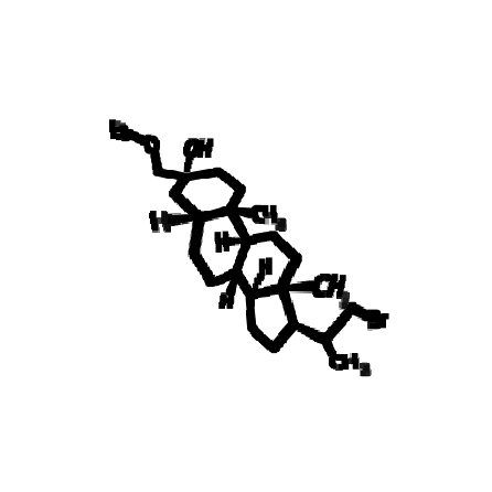 CCOC[C@@]1(O)CC[C@@]2(C)[C@H](CC[C@@H]3[C@@H]2CC[C@]2(C)[C@@H](C(C)CBr)CC[C@@H]32)C1